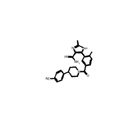 Cc1nc(C(=N)N)c(-c2cc(C(=O)N3CCC(c4ccc(C#N)cc4)CC3)ccc2C)[nH]1